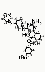 CC(C)(C)c1ccc(C(=O)Nc2cccc(-c3nc(N)nc(Nc4cccc(CN5CCOCC5)c4)n3)c2CO)cc1